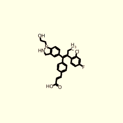 CC/C(=C(/c1ccc(/C=C/C(=O)O)cc1)c1ccc2c(c1)CNN2CCO)c1ccc(F)cc1Cl